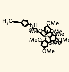 CC#Cc1ccc(NC(=O)CCCC[PH](c2c(OC)cc(OC)cc2OC)(c2c(OC)cc(OC)cc2OC)c2c(OC)cc(OC)cc2OC)cc1